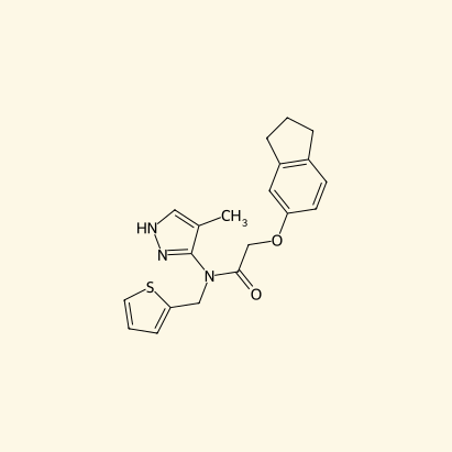 Cc1c[nH]nc1N(Cc1cccs1)C(=O)COc1ccc2c(c1)CCC2